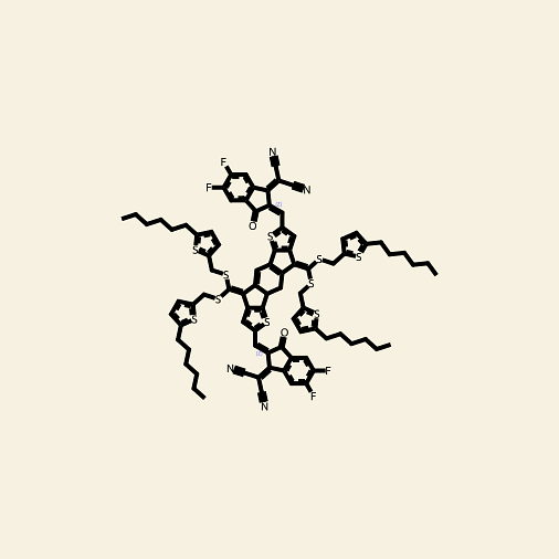 CCCCCCc1ccc(CSC(SCc2ccc(CCCCCC)s2)=C2C3=C(C=C4C(=C(SCc5ccc(CCCCCC)s5)SCc5ccc(CCCCCC)s5)c5cc(/C=C6\C(=O)c7cc(F)c(F)cc7C6=C(C#N)C#N)sc5C4C3)c3sc(/C=C4\C(=O)c5cc(F)c(F)cc5C4=C(C#N)C#N)cc32)s1